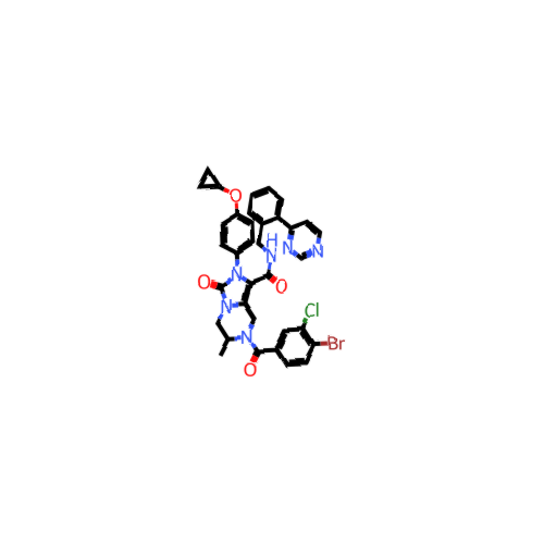 CC1Cn2c(c(C(=O)NCc3ccccc3-c3ccncn3)n(-c3ccc(OC4CC4)cc3)c2=O)CN1C(=O)c1ccc(Br)c(Cl)c1